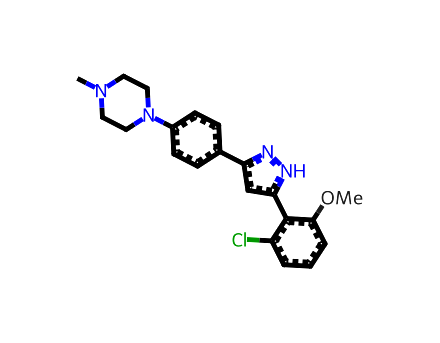 COc1cccc(Cl)c1-c1cc(-c2ccc(N3CCN(C)CC3)cc2)n[nH]1